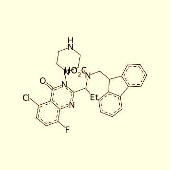 CCC(c1nc2c(F)ccc(Cl)c2c(=O)n1N1CCNCC1)N(CC1c2ccccc2-c2ccccc21)C(=O)O